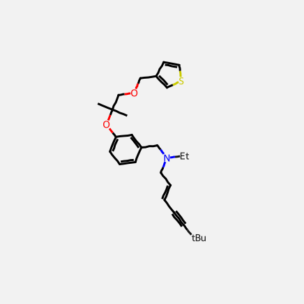 CCN(C/C=C/C#CC(C)(C)C)Cc1cccc(OC(C)(C)COCc2ccsc2)c1